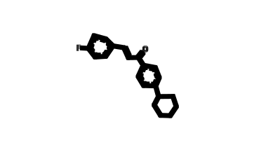 O=C(C=Cc1ccc(F)cc1)c1ccc(C2CCCCC2)cc1